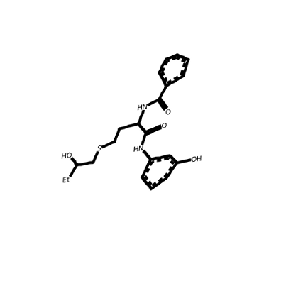 CCC(O)CSCCC(NC(=O)c1ccccc1)C(=O)Nc1cccc(O)c1